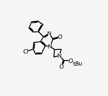 CC(C)(C)OC(=O)N1CC(n2c(=O)nc(-c3ccccc3)c3cc(Cl)ccc32)C1